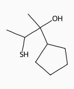 CC(S)C(C)(O)C1CCCC1